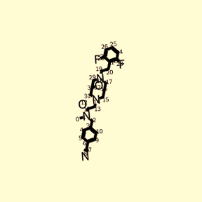 CN(Cc1ccc(C#N)cc1)C(=O)CN1CC2CN(CCc3c(F)cccc3F)CC(C1)O2